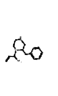 C=CC(N)N1CCNCC1Cc1ccccc1